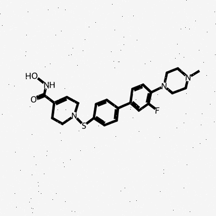 CN1CCN(c2ccc(-c3ccc(SN4CC=C(C(=O)NO)CC4)cc3)cc2F)CC1